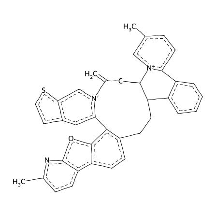 C=C1CC2C(CCc3ccc4c(oc5nc(C)ccc54)c3-c3cc4ccsc4c[n+]31)c1ccccc1-c1ccc(C)c[n+]12